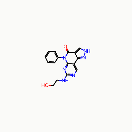 O=c1c2c[nH]nc2c2cnc(NCCO)nc2n1-c1ccccc1